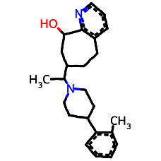 Cc1ccccc1C1CCN(C(C)C2CCc3cccnc3C(O)C2)CC1